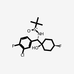 CC(C)(C)[S+]([O-])N[C@@H](c1ccc(F)c(Cl)c1)[C@]1(O)CC[C@@H](F)CC1